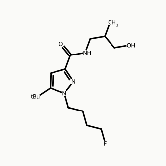 CC(CO)CNC(=O)c1cc(C(C)(C)C)n(CCCCF)n1